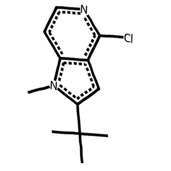 Cn1c(C(C)(C)C)cc2c(Cl)nccc21